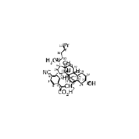 C=C(C(=O)O)c1ccc(C#N)cc1.CC(C)CCCC(C)[C@H]1CC[C@H]2[C@@H]3CC=C4C[C@@H](O)CC[C@]4(C)[C@H]3CC[C@]12C